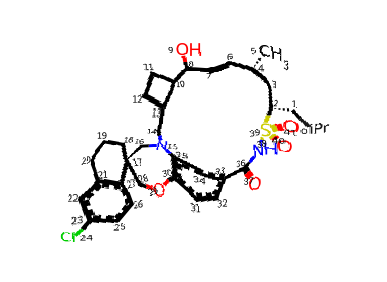 CC(C)C[C@H]1C[C@@H](C)/C=C/C(O)C2CCC2CN2C[C@@]3(CCCc4cc(Cl)ccc43)COc3ccc(cc32)C(=O)NS1(=O)=O